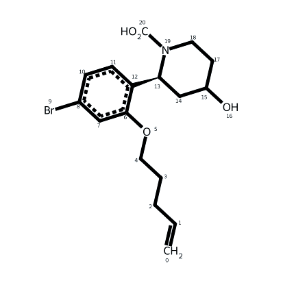 C=CCCCOc1cc(Br)ccc1[C@@H]1CC(O)CCN1C(=O)O